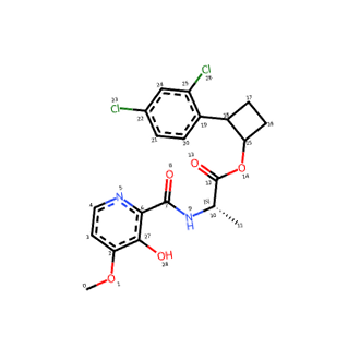 COc1ccnc(C(=O)N[C@@H](C)C(=O)OC2CCC2c2ccc(Cl)cc2Cl)c1O